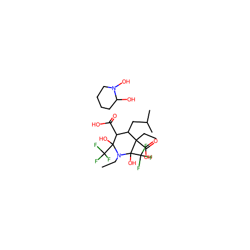 CCN1C(O)(C(F)(F)F)C(C(=O)O)C(CC(C)C)C(CC)(C(=O)O)C1(O)C(F)(F)F.OC1CCCCN1O